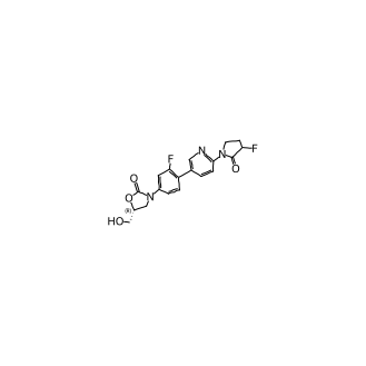 O=C1O[C@@H](CO)CN1c1ccc(-c2ccc(N3CCC(F)C3=O)nc2)c(F)c1